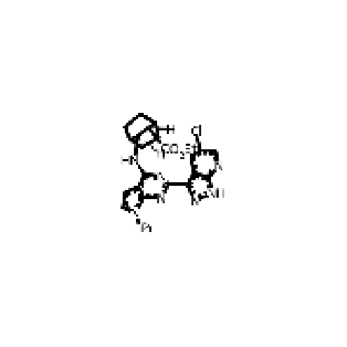 CCOC(=O)[C@H]1C2CCC(CC2)[C@@H]1Nc1nc(-c2n[nH]c3ncc(Cl)cc23)nc2c1ccn2C(C)C